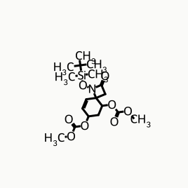 COC(=O)OC1C=CC2(CC(=O)N2O[Si](C)(C)C(C)(C)C)C(OC(=O)OC)C1